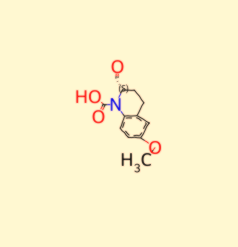 COc1ccc2c(c1)CC[C@@H](C=O)N2C(=O)O